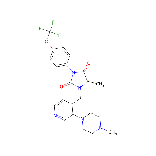 CC1C(=O)N(c2ccc(OC(F)(F)F)cc2)C(=O)N1Cc1ccncc1N1CCN(C)CC1